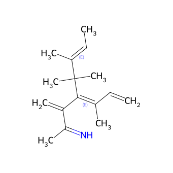 C=C/C(C)=C(/C(=C)C(C)=N)C(C)(C)/C(C)=C/C